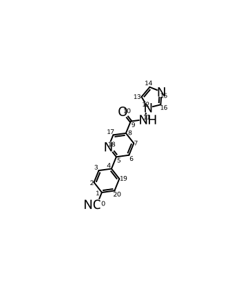 N#Cc1ccc(-c2ccc(C(=O)Nn3ccnc3)cn2)cc1